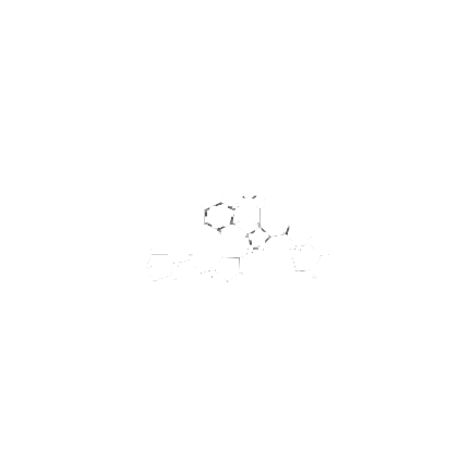 O=C(c1nn(C2CCN(CCN3CCOCC3)C2)c2c1CS(=O)(=O)c1ccccc1-2)N1CCOCC1